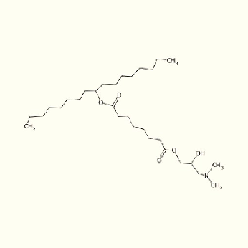 CCCCCCCCC(CCCCCCCC)OC(=O)CCCCCCC(=O)OCC(O)CN(C)C